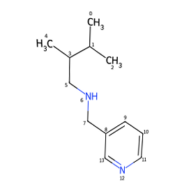 CC(C)C(C)CNCc1cccnc1